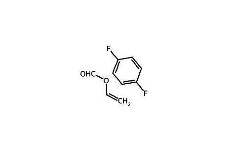 C=COC=O.Fc1ccc(F)cc1